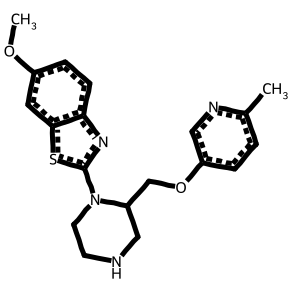 COc1ccc2nc(N3CCNCC3COc3ccc(C)nc3)sc2c1